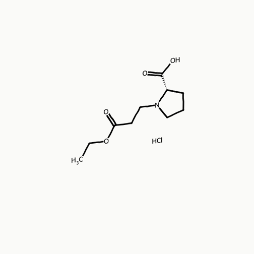 CCOC(=O)CCN1CCC[C@H]1C(=O)O.Cl